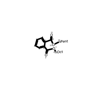 CCCCCCCCOC(=O)c1ccccc1C(=O)OCCCCC